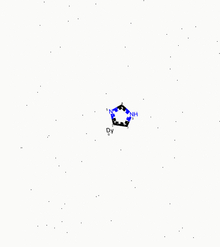 [Dy].c1c[nH]cn1